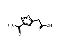 CC(=O)c1cc(CC(=O)O)on1